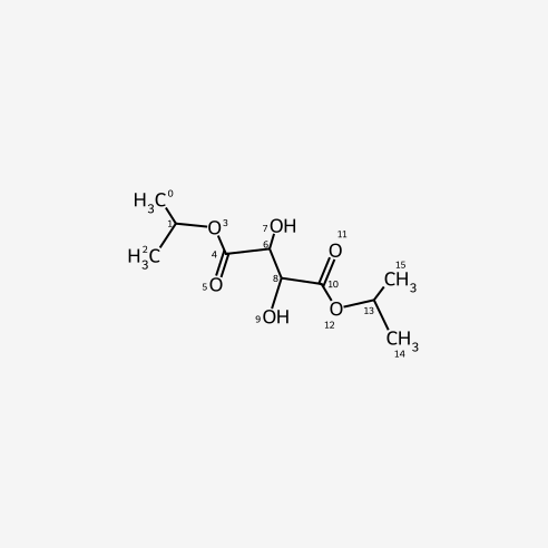 CC(C)OC(=O)C(O)C(O)C(=O)OC(C)C